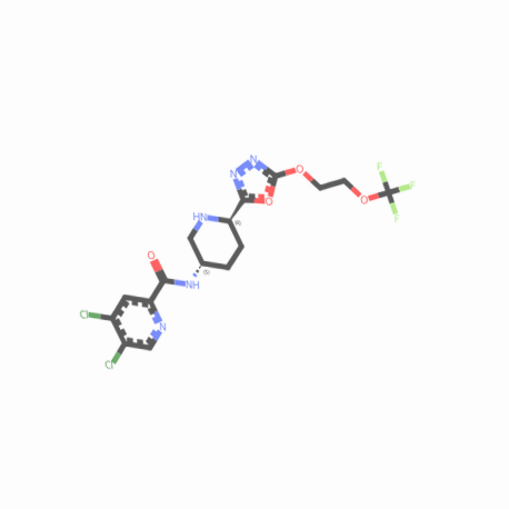 O=C(N[C@H]1CC[C@H](c2nnc(OCCOC(F)(F)F)o2)NC1)c1cc(Cl)c(Cl)cn1